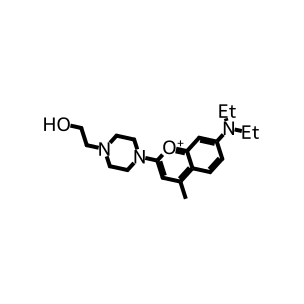 CCN(CC)c1ccc2c(C)cc(N3CCN(CCO)CC3)[o+]c2c1